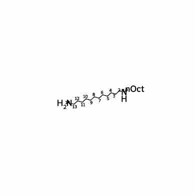 [CH2]CCCCCCCNCCCCCCCCCCCCN